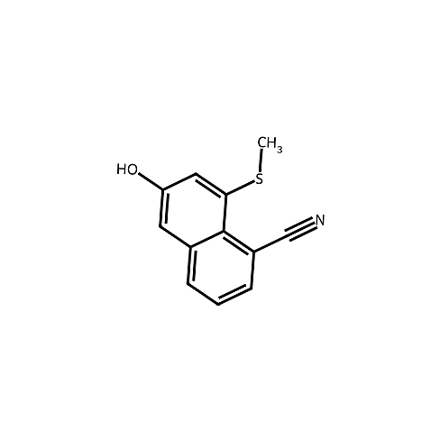 CSc1cc(O)cc2cccc(C#N)c12